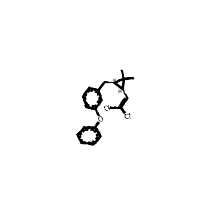 CC1(C)[C@H](Cc2cccc(Oc3ccccc3)c2)[C@@H]1C=C(Cl)Cl